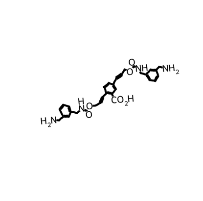 NCc1cccc(CNC(=O)OCC#Cc2ccc(C#CCOC(=O)NCc3cccc(CN)c3)c(C(=O)O)c2)c1